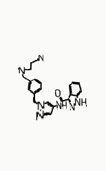 CN(CCC#N)Cc1cccc(Cn2cc(NC(=O)c3n[nH]c4ccccc34)cn2)c1